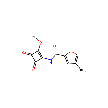 Bc1coc([C@H](Nc2c(OCC)c(=O)c2=O)C(F)(F)F)c1